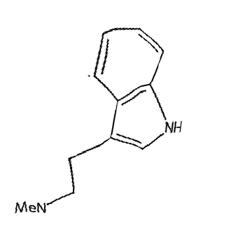 CNCCc1c[nH]c2ccc[c]c12